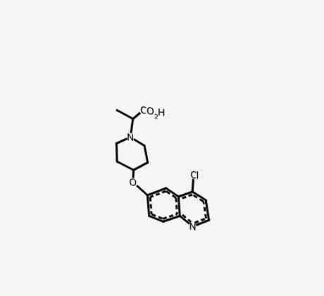 CC(C(=O)O)N1CCC(Oc2ccc3nccc(Cl)c3c2)CC1